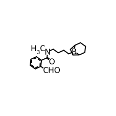 CN(CCCCB1C2CCCC1CC2)C(=O)c1ccccc1C=O